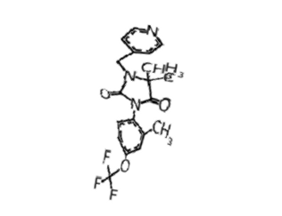 Cc1cc(OC(F)(F)F)ccc1N1C(=O)N(Cc2ccncc2)C(C)(C)C1=O